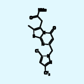 CNC(=O)Cc1c(C)sc2nc(Cn3nc(C(F)(F)F)cc3Cl)cc(=O)n12